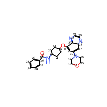 O=C(NC1CCC(Oc2cc(N3CCOCC3)cc3nccnc23)CC1)c1ccccc1